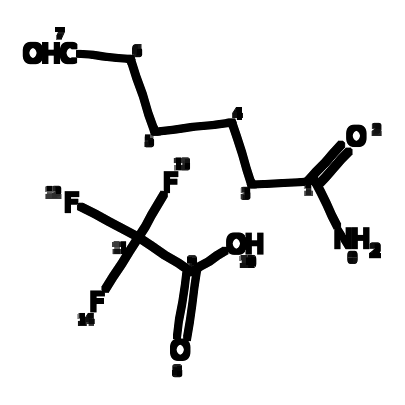 NC(=O)CCCCC=O.O=C(O)C(F)(F)F